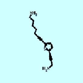 NCC#Cc1ccc(C#CCCCCCN)s1